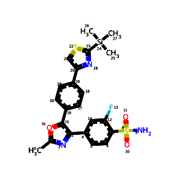 Cc1nc(-c2ccc(S(N)(=O)=O)c(F)c2)c(-c2ccc(-c3csc([Si](C)(C)C)n3)cc2)o1